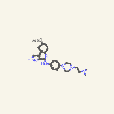 COc1ccc2nc(Nc3ccc(N4CCN(CCN(C)C)CC4)cc3)c3n[nH]cc3c2c1